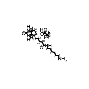 NCCCCCCNC(=O)CCCC[C@@H]1SC[C@@H]2NC(=O)N[C@@H]21.O=C(O)C(F)(F)F